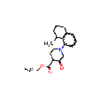 CCOC(=O)C1CCN(c2cccc3c2C(C)CCC3)CC1=O